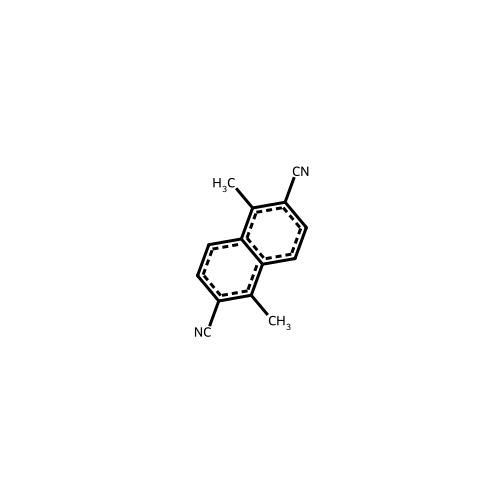 Cc1c(C#N)ccc2c(C)c(C#N)ccc12